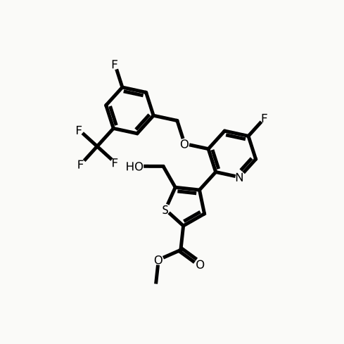 COC(=O)c1cc(-c2ncc(F)cc2OCc2cc(F)cc(C(F)(F)F)c2)c(CO)s1